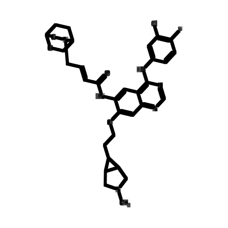 CN1CC2C(CCOc3cc4ncnc(Nc5ccc(F)c(Cl)c5)c4cc3NC(=O)/C=C/CN3CC4CCC3CO4)C2C1